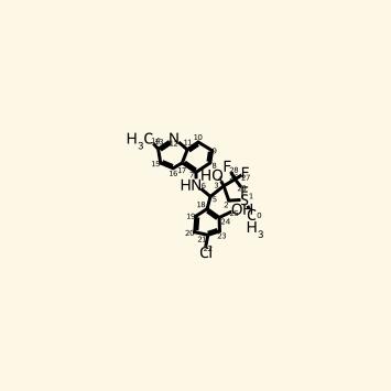 CSCC(O)(C(Nc1cccc2nc(C)ccc12)c1ccc(Cl)cc1O)C(F)(F)F